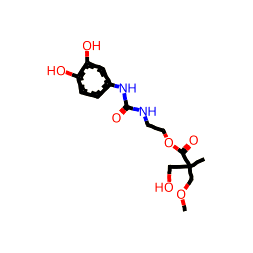 COCC(C)(CO)C(=O)OCCNC(=O)Nc1ccc(O)c(O)c1